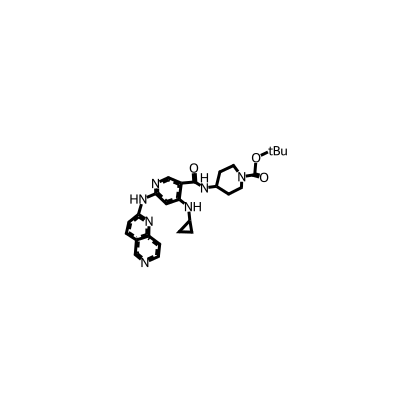 CC(C)(C)OC(=O)N1CCC(NC(=O)c2cnc(Nc3ccc4cnccc4n3)cc2NC2CC2)CC1